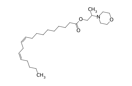 CCCC/C=C\C/C=C\CCCCCCCCC(=O)OCC(C)N1CCOCC1